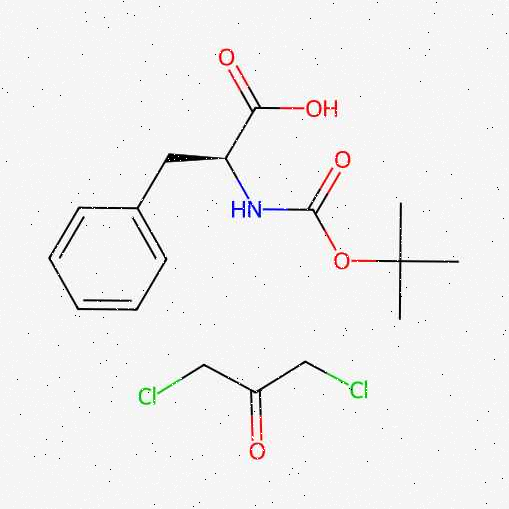 CC(C)(C)OC(=O)N[C@@H](Cc1ccccc1)C(=O)O.O=C(CCl)CCl